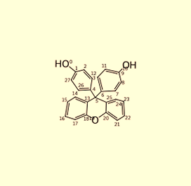 Oc1ccc(C2(c3ccc(O)cc3)c3ccccc3Oc3ccccc32)cc1